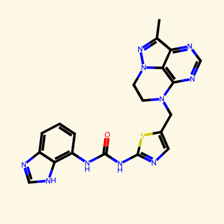 Cc1nn2c3c(ncnc13)N(Cc1cnc(NC(=O)Nc3cccc4nc[nH]c34)s1)CC2